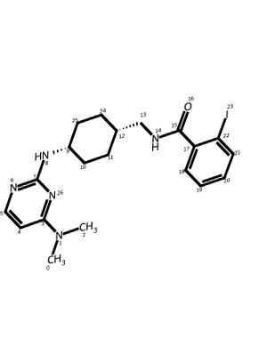 CN(C)c1ccnc(N[C@H]2CC[C@@H](CNC(=O)c3ccccc3I)CC2)n1